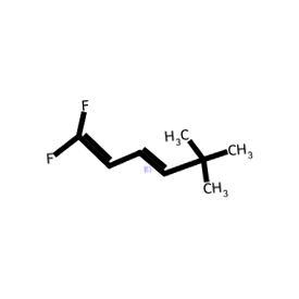 CC(C)(C)/C=C/C=C(F)F